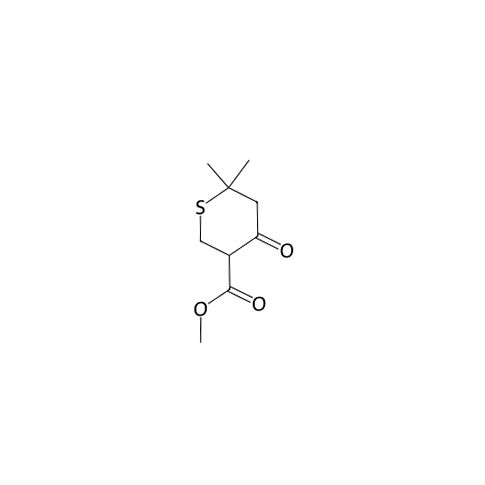 COC(=O)C1CSC(C)(C)CC1=O